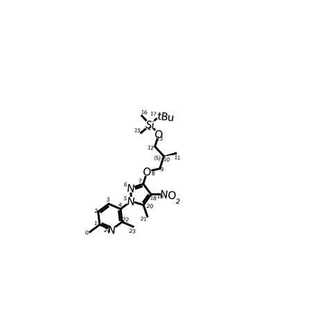 Cc1ccc(-n2nc(OC[C@H](C)CO[Si](C)(C)C(C)(C)C)c([N+](=O)[O-])c2C)c(C)n1